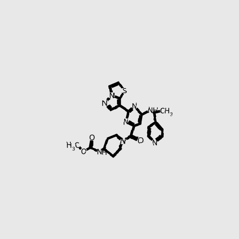 COC(=O)NC1CCN(C(=O)c2cc(NC(C)c3ccncc3)nc(-c3cnn4ccsc34)n2)CC1